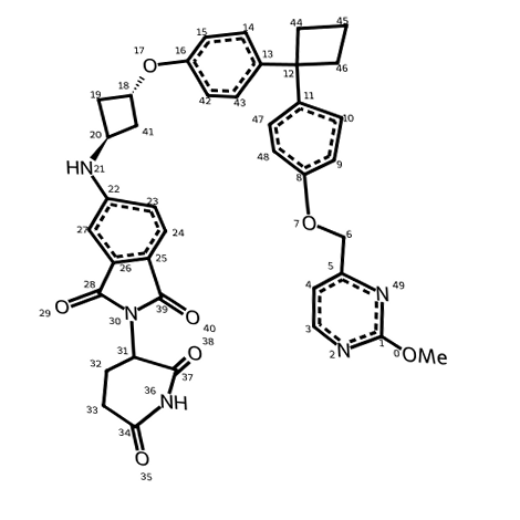 COc1nccc(COc2ccc(C3(c4ccc(O[C@H]5C[C@H](Nc6ccc7c(c6)C(=O)N(C6CCC(=O)NC6=O)C7=O)C5)cc4)CCC3)cc2)n1